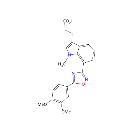 COc1ccc(-c2nc(-c3cccc4c(CCC(=O)O)cn(C)c34)no2)cc1OC